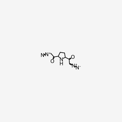 [N-]=[N+]=CC(=O)C1CCC(C(=O)C=[N+]=[N-])N1